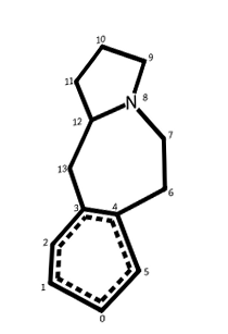 c1ccc2c(c1)CCN1CCCC1C2